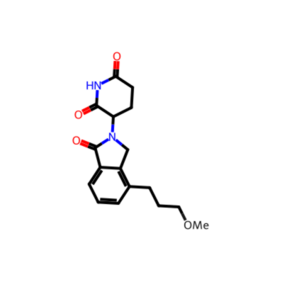 COCCCc1cccc2c1CN(C1CCC(=O)NC1=O)C2=O